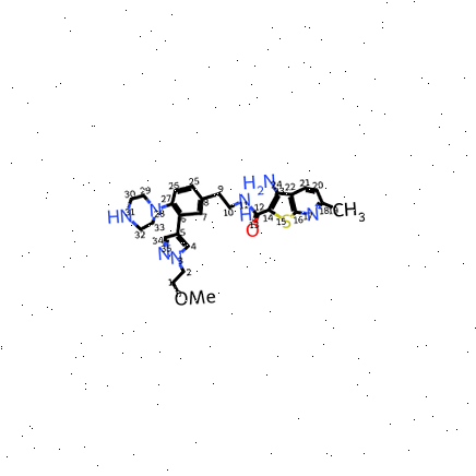 COCCn1cc(-c2cc(CCNC(=O)c3sc4nc(C)ccc4c3N)ccc2N2CCNCC2)cn1